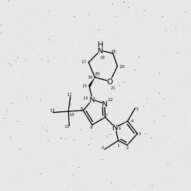 Cc1ccc(C)n1-c1cc(C(C)(C)C)n(C[C@H]2CNCCO2)n1